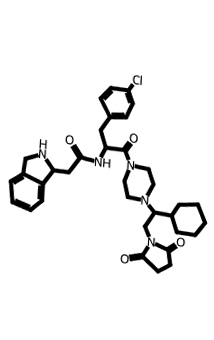 O=C(CC1NCc2ccccc21)NC(Cc1ccc(Cl)cc1)C(=O)N1CCN(C(CN2C(=O)CCC2=O)C2CCCCC2)CC1